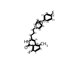 Cc1ccc(F)c2c(=O)[nH]c(CCCN3C=C4CC3CN4c3ccc(F)cc3)cc12